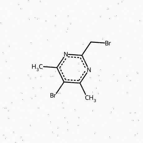 Cc1nc(CBr)nc(C)c1Br